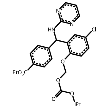 CCOC(=O)c1ccc(C(Nc2ncccn2)c2cc(Cl)ccc2OCOC(=O)OC(C)C)cc1